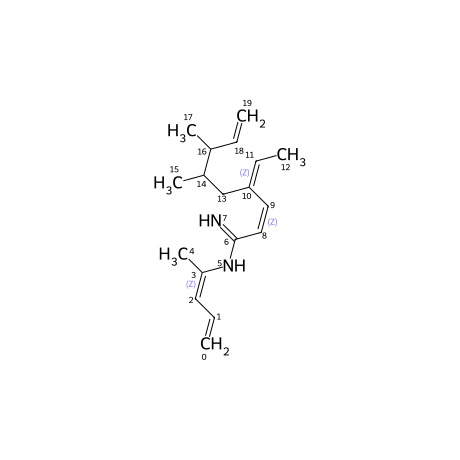 C=C/C=C(/C)NC(=N)/C=C\C(=C/C)CC(C)C(C)C=C